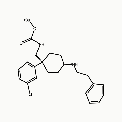 CC(C)(C)OC(=O)NC[C@]1(c2cccc(Cl)c2)CC[C@H](NCCc2ccccc2)CC1